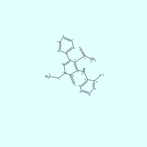 CCn1nc(-c2cccnc2)c(C(C)=O)c(Nc2ccccc2F)c1=O